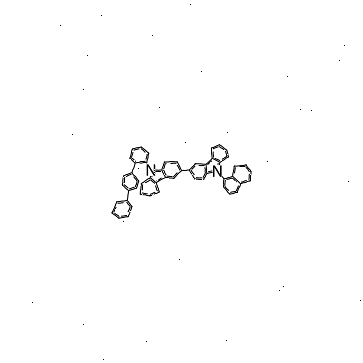 c1ccc(-c2ccc(-c3ccccc3-n3c4ccccc4c4cc(-c5ccc6c(c5)c5ccccc5n6-c5cccc6ccccc56)ccc43)cc2)cc1